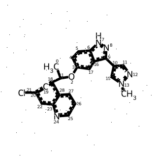 CC(Oc1ccc2[nH]nc(-c3cnn(C)c3)c2c1)c1cc(Cl)cc2ncccc12